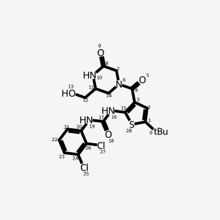 CC(C)(C)c1cc(C(=O)N2CC(=O)NC(CO)C2)c(NC(=O)Nc2cccc(Cl)c2Cl)s1